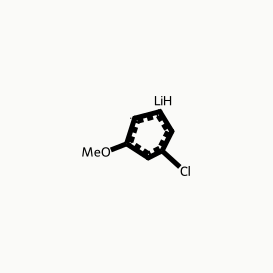 COc1[c]ccc(Cl)c1.[LiH]